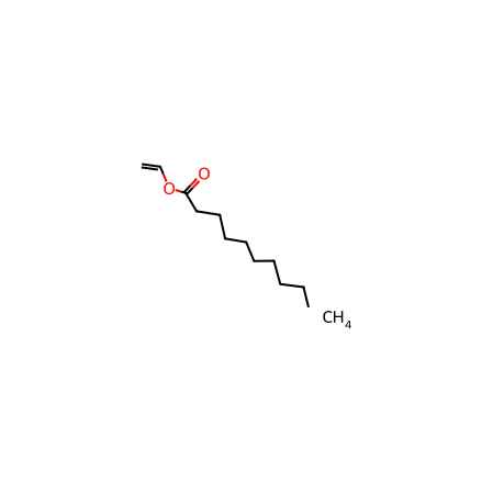 C.C=COC(=O)CCCCCCCCC